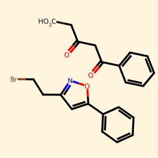 BrCCc1cc(-c2ccccc2)on1.O=C(O)CC(=O)CC(=O)c1ccccc1